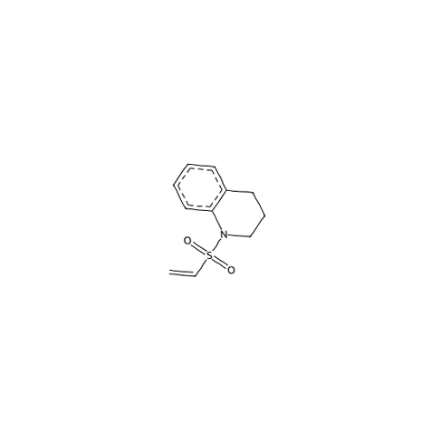 C=CS(=O)(=O)N1CCCc2ccccc21